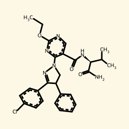 CCOc1ncc(C(=O)N[C@H](C(N)=O)C(C)C)c(N2CC(c3ccccc3)C(c3ccc(Cl)cc3)=N2)n1